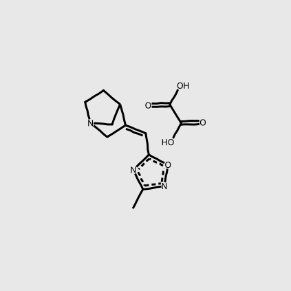 Cc1noc(C=C2CN3CCC2C3)n1.O=C(O)C(=O)O